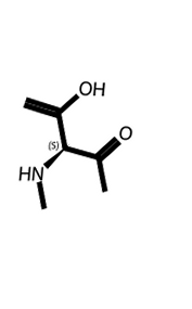 C=C(O)[C@H](NC)C(C)=O